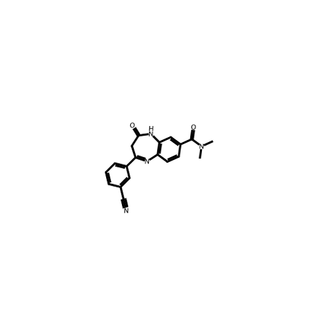 CN(C)C(=O)c1ccc2c(c1)NC(=O)CC(c1cccc(C#N)c1)=N2